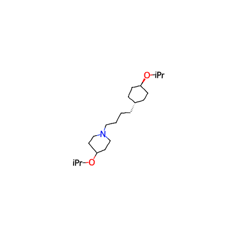 CC(C)OC1CCN(CCCC[C@H]2CC[C@H](OC(C)C)CC2)CC1